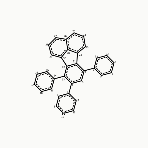 c1ccc(-c2cc(-c3ccncc3)c(-c3ccccc3)c3c2-c2cccc4cccc-3c24)cc1